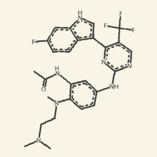 CC(=O)Nc1cc(Nc2ncc(C(F)(F)F)c(-c3c[nH]c4cc(F)ccc34)n2)ccc1N(C)CCN(C)C